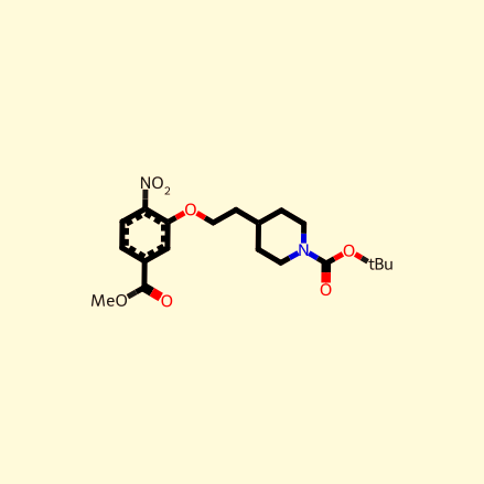 COC(=O)c1ccc([N+](=O)[O-])c(OCCC2CCN(C(=O)OC(C)(C)C)CC2)c1